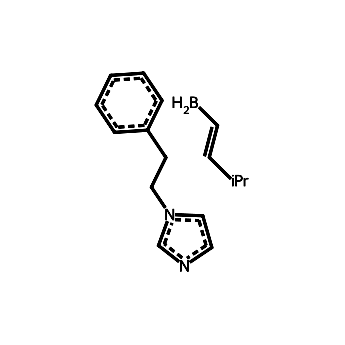 BC=CC(C)C.c1ccc(CCn2ccnc2)cc1